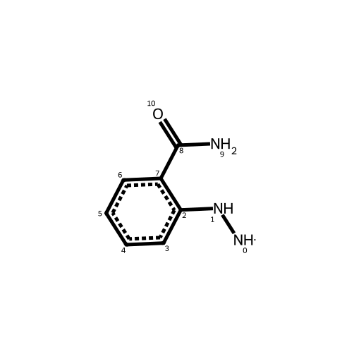 [NH]Nc1ccccc1C(N)=O